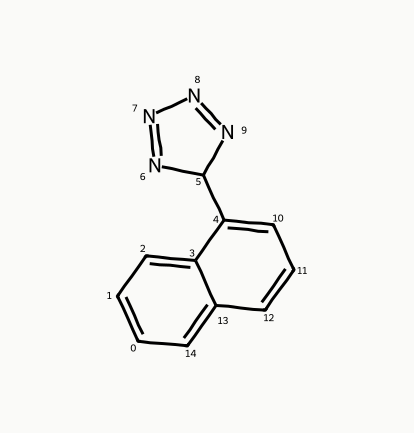 c1ccc2c(C3N=NN=N3)cccc2c1